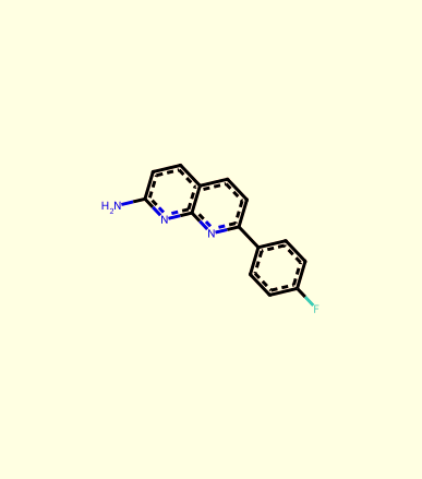 Nc1ccc2ccc(-c3ccc(F)cc3)nc2n1